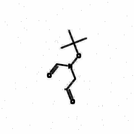 CC(C)(C)ON(C=O)C[C]=O